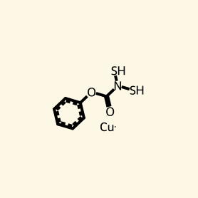 O=C(Oc1ccccc1)N(S)S.[Cu]